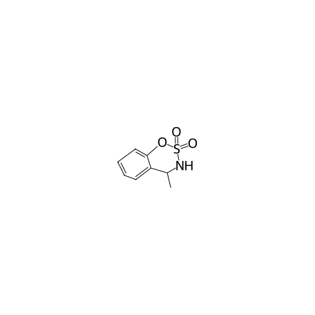 CC1NS(=O)(=O)Oc2ccccc21